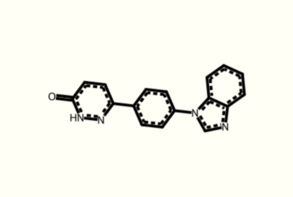 O=c1ccc(-c2ccc(-n3cnc4ccccc43)cc2)n[nH]1